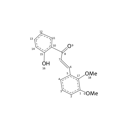 COc1cccc(/C=C/C(=O)c2ccccc2O)c1OC